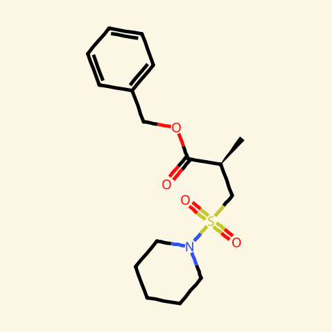 C[C@@H](CS(=O)(=O)N1CCCCC1)C(=O)OCc1ccccc1